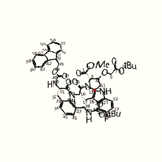 COC(=O)[C@@H]1[C@@H](OCC(=O)OC(C)(C)C)CCN1C(=O)[C@H](Cc1c[nH]c2ccc(F)cc12)NC(=O)[C@H](Cc1cccc(CNC(=O)OC(C)(C)C)c1)NC(=O)OCC1c2ccccc2-c2ccccc21